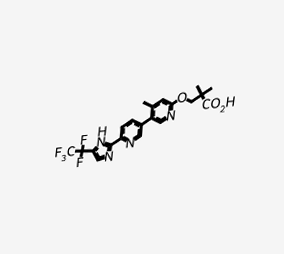 Cc1cc(OCC(C)(C)C(=O)O)ncc1-c1ccc(-c2ncc(C(F)(F)C(F)(F)F)[nH]2)nc1